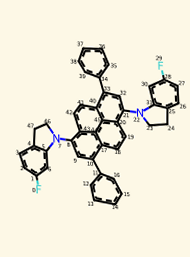 Fc1ccc2c(c1)N(c1cc(-c3ccccc3)c3ccc4c(N5CCc6ccc(F)cc65)cc(-c5ccccc5)c5ccc1c3c54)CC2